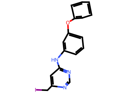 ICc1cc(Nc2cccc(Oc3ccccc3)c2)ncn1